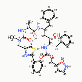 CC(C)[C@H](NC(=O)N(C)Cc1csc(-c2ccccc2)n1)C(=O)N[C@@H](Cc1ccccc1)C[C@H](O)[C@H](Cc1ccccc1)NC(=O)OCc1ccno1